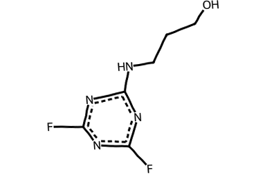 OCCCNc1nc(F)nc(F)n1